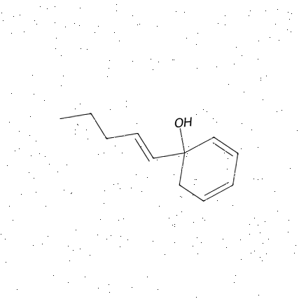 CCCC=CC1(O)C=CC=CC1